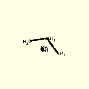 CCCCCCCCC=CCCCCCCCCN(C)CCCCCCCCC=CCCCCCCCC.O=S(=O)(O)O